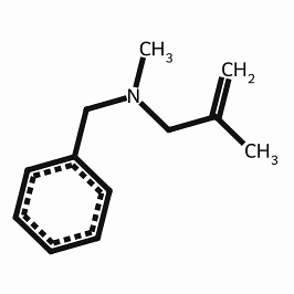 C=C(C)CN(C)Cc1ccccc1